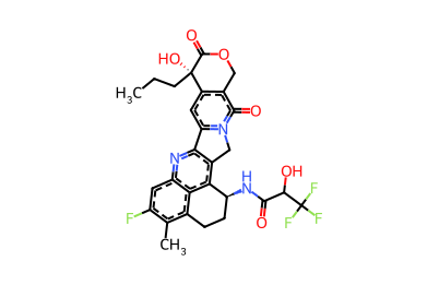 CCC[C@@]1(O)C(=O)OCc2c1cc1n(c2=O)Cc2c-1nc1cc(F)c(C)c3c1c2[C@@H](NC(=O)C(O)C(F)(F)F)CC3